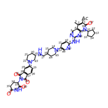 CC(=O)c1c(C)c2cnc(Nc3ccc(N4CCC(CN[C@H]5CCCN(c6ccc7c(c6)C(=O)N(C6CCC(=O)NC6=O)C7=O)C5)CC4)cn3)nc2n(C2CCCC2)c1=O